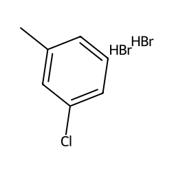 Br.Br.Cc1cccc(Cl)c1